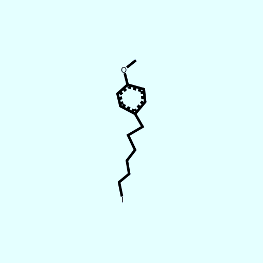 COc1ccc(CCCCCCI)cc1